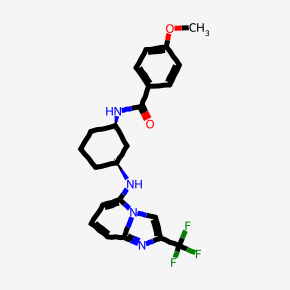 COc1ccc(C(=O)N[C@@H]2CCC[C@H](Nc3cccc4nc(C(F)(F)F)cn34)C2)cc1